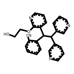 N#Cc1ccccc1C(c1cccnc1OCCO)C(c1cccnc1)c1cccnc1